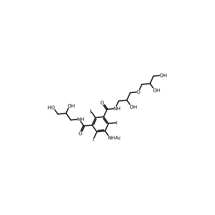 CC(=O)Nc1c(I)c(C(=O)NCC(O)CO)c(I)c(C(=O)NCC(O)COCC(O)CO)c1I